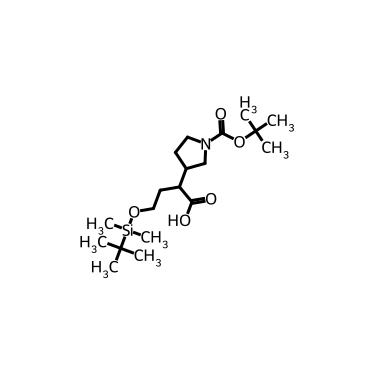 CC(C)(C)OC(=O)N1CCC(C(CCO[Si](C)(C)C(C)(C)C)C(=O)O)C1